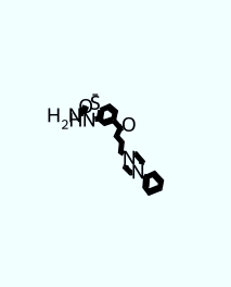 CSc1ccc(C(=O)CCCN2CCN(c3ccccc3)CC2)cc1NC(N)=O